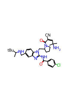 CC(NCc1ccc2c(c1)nc(NC(=O)c1ccc(Cl)cc1)n2CC1CCCN1C(=O)C(C#N)=CC(C)(C)N)C(C)(C)C